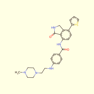 CN1CCN(CCNc2ccc(C(=O)Nc3ccc(-c4cccs4)c4c3C(=O)NC4)cc2)CC1